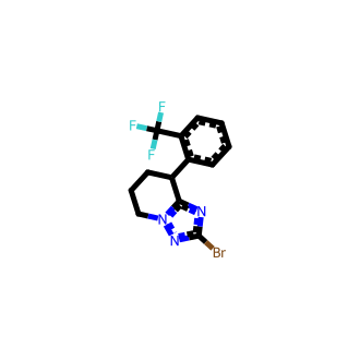 FC(F)(F)c1ccccc1C1CCCn2nc(Br)nc21